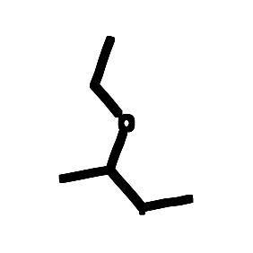 C[CH]C(C)OCC